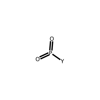 O=[P](=O)[Y]